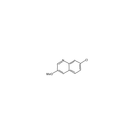 COc1cnc2cc(Cl)ccc2c1